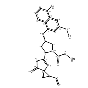 C=CC1C[C@@]12N=C([C@@H]1C[C@@H](Oc3cc(OCC)nc4c(Cl)cccc34)CN1C(=O)OC(C)(C)C)OC2=O